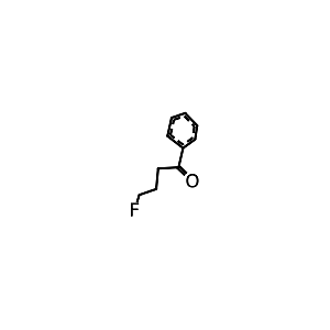 O=C(CCCF)c1ccccc1